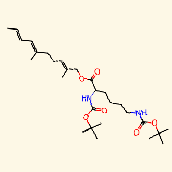 C/C=C/C=C(\C)CC/C=C(\C)COC(=O)C(CCCCNC(=O)OC(C)(C)C)NC(=O)OC(C)(C)C